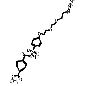 COC(=O)c1ccc(C(=O)NS(=O)(=O)c2ccc(OCCOCCOCCN=[N+]=[N-])cc2)cc1